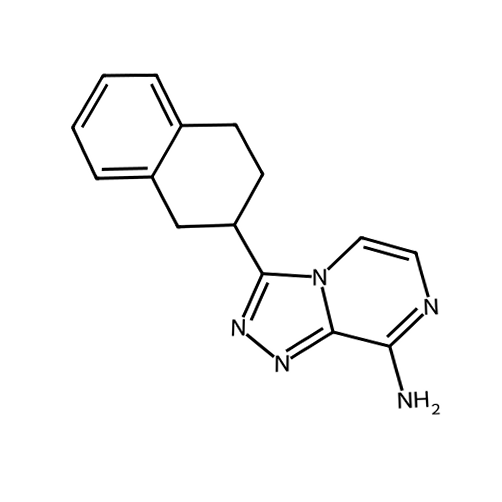 Nc1nccn2c(C3CCc4ccccc4C3)nnc12